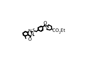 CCOC(=O)C1CCN(C(=O)c2ccc(CSc3nc4cccc(C)c4c(=O)n3C)cc2)CC1